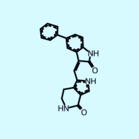 O=C1Nc2ccc(-c3ccccc3)cc2/C1=C/c1[nH]cc2c1CCNC2=O